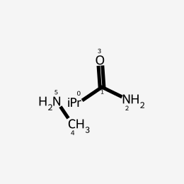 CC(C)C(N)=O.CN